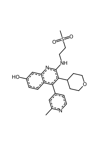 Cc1cc(-c2c(C3CCOCC3)c(NCCS(C)(=O)=O)nc3cc(O)ccc23)ccn1